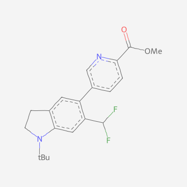 COC(=O)c1ccc(-c2cc3c(cc2C(F)F)N(C(C)(C)C)CC3)cn1